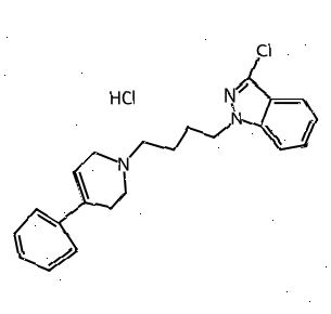 Cl.Clc1nn(CCCCN2CC=C(c3ccccc3)CC2)c2ccccc12